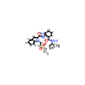 CC(C)C[C@@H](C#N)NC(=O)[C@@H]1CCCC[C@@H]1NC(=O)c1cc2ccccc2n1CCS(C)(=O)=O